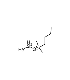 CCCC[Si](C)(C)O[SiH2]S